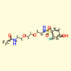 O=C(NCCOCCOCCNS(=O)(=O)c1ccc(O)cc1F)C(F)(F)F